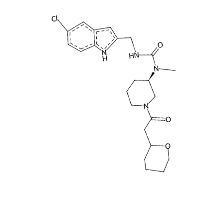 CN(C(=O)NCc1cc2cc(Cl)ccc2[nH]1)[C@@H]1CCCN(C(=O)CC2CCCCO2)C1